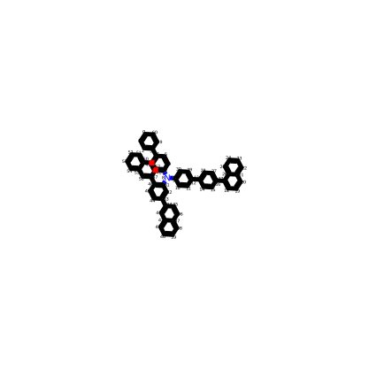 c1ccc(-c2ccc(N(c3ccc(-c4ccc(-c5cccc6ccccc56)cc4)cc3)c3cc(-c4ccc5ccccc5c4)ccc3-c3ccc4ccccc4c3)cc2)cc1